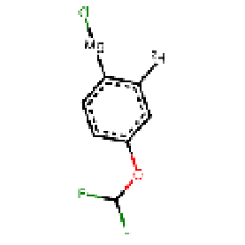 [2H]c1cc(OC(F)F)cc[c]1[Mg][Cl]